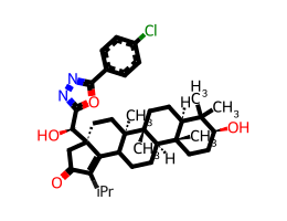 CC(C)C1=C2C3CC[C@@H]4[C@@]5(C)CC[C@H](O)C(C)(C)[C@@H]5CC[C@@]4(C)[C@]3(C)CC[C@@]2([C@@H](O)c2nnc(-c3ccc(Cl)cc3)o2)CC1=O